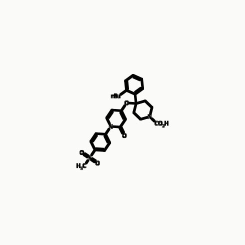 CCCCc1ccccc1C1(Oc2ccn(-c3ccc(S(C)(=O)=O)cc3)c(=O)c2)CCN(C(=O)O)CC1